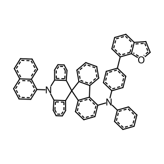 c1ccc(N(c2ccc(-c3cccc4ccoc34)cc2)c2cccc3c2-c2ccccc2C32c3ccccc3N(c3cccc4ccccc34)c3ccccc32)cc1